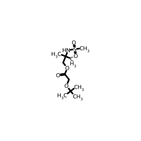 CC(C)(COC(=O)COC(C)(C)C)NS(C)(=O)=O